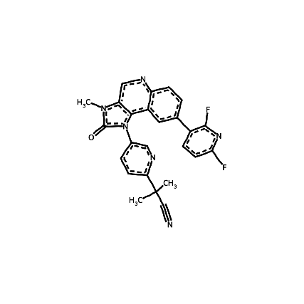 Cn1c(=O)n(-c2ccc(C(C)(C)C#N)nc2)c2c3cc(-c4ccc(F)nc4F)ccc3ncc21